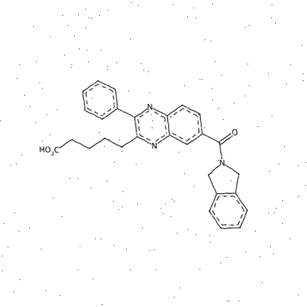 O=C(O)CCCCc1nc2cc(C(=O)N3Cc4ccccc4C3)ccc2nc1-c1ccccc1